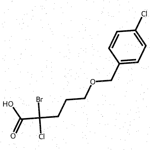 O=C(O)C(Cl)(Br)CCCOCc1ccc(Cl)cc1